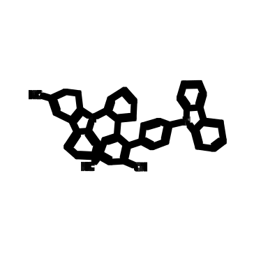 N#CC1=Cc2c(n(-c3ccccc3-c3cc(C#N)cc(C#N)c3-c3ccc(-n4c5ccccc5c5ccccc54)cc3)c3ccccc23)CC1